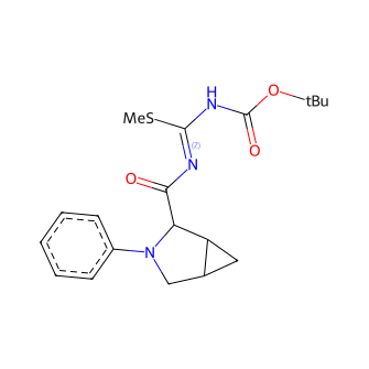 CS/C(=N\C(=O)C1C2CC2CN1c1ccccc1)NC(=O)OC(C)(C)C